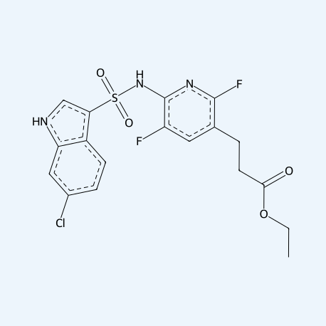 CCOC(=O)CCc1cc(F)c(NS(=O)(=O)c2c[nH]c3cc(Cl)ccc23)nc1F